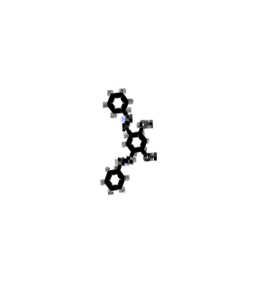 Oc1cc(O)c(/N=N/c2ccccc2)cc1/N=N/c1ccccc1